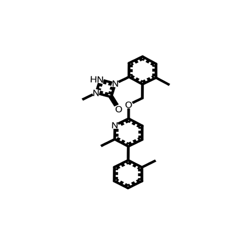 Cc1ccccc1-c1ccc(OCc2c(C)cccc2-n2[nH]n(C)c2=O)nc1C